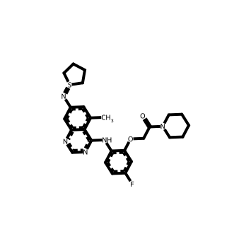 Cc1cc(N=S2CCCC2)cc2ncnc(Nc3ccc(F)cc3OCC(=O)N3CCCCC3)c12